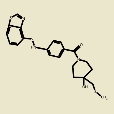 CSCC1(O)CCN(C(=O)c2ccc(NSc3cccc4scnc34)cc2)CC1